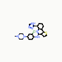 CN1CCN(c2ccc(Nc3nc4c(-c5nnc[nH]5)cccc4c4sccc34)c(Cl)c2)CC1